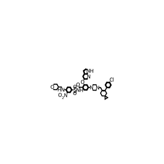 O=C(NS(=O)(=O)c1ccc(NCC2CCOCC2)c([N+](=O)[O-])c1)c1ccc(N2CCN(CC3=C(c4ccc(Cl)cc4)CC4(CC3)CC4)CC2)cc1Oc1cnc2[nH]ccc2c1